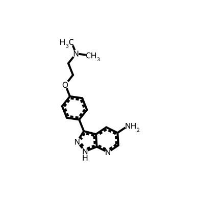 CN(C)CCOc1ccc(-c2n[nH]c3ncc(N)cc23)cc1